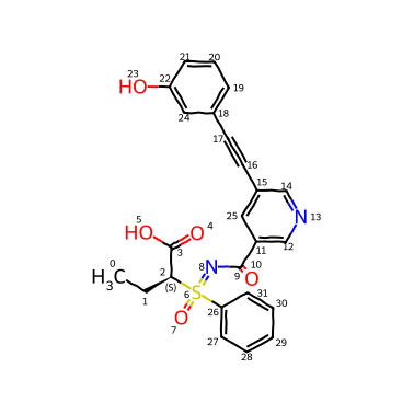 CC[C@@H](C(=O)O)S(=O)(=NC(=O)c1cncc(C#Cc2cccc(O)c2)c1)c1ccccc1